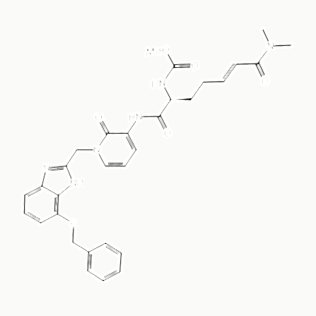 COC(=O)N[C@@H](CC/C=C/C(=O)N(C)C)C(=O)Nc1cccn(Cc2nc3cccc(OCc4ccccc4)c3[nH]2)c1=O